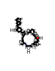 CCC1/C=C(\C)C(O)C(C)CC(OC)C2OC(O)(C(=O)C(=O)N3CCCCC3C(=O)OC(C(C)=CC3CCC(Oc4ccc5c(ccn5C)c4)C(O)C3)C(C)CCC1=O)C(C)CC2OC